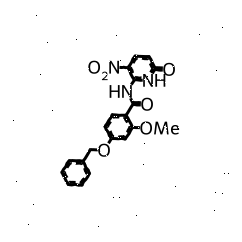 COc1cc(OCc2ccccc2)ccc1C(=O)Nc1[nH]c(=O)ccc1[N+](=O)[O-]